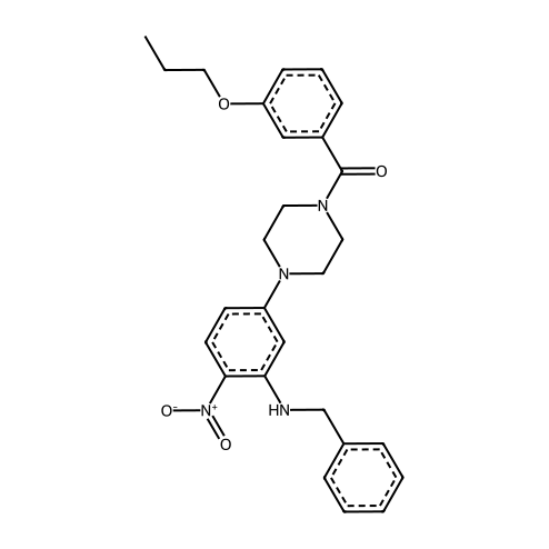 CCCOc1cccc(C(=O)N2CCN(c3ccc([N+](=O)[O-])c(NCc4ccccc4)c3)CC2)c1